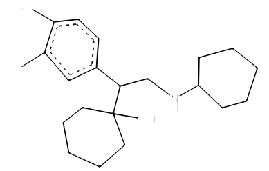 OC1(C(CNC2CCCCC2)c2ccc(Cl)c(Cl)c2)CCCCC1